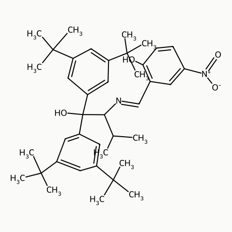 CC(C)C(N=Cc1cc([N+](=O)[O-])ccc1O)C(O)(c1cc(C(C)(C)C)cc(C(C)(C)C)c1)c1cc(C(C)(C)C)cc(C(C)(C)C)c1